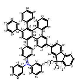 CC1(C)c2ccccc2-c2ccc(-c3ccc4c(c3)c3ccccc3c3c(-c5ccccc5)c(-c5ccccc5)cc(-c5ccc(N(c6ccccc6)c6ccccc6)cc5)c43)cc21